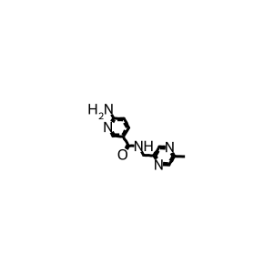 Cc1cnc(CNC(=O)c2ccc(N)nc2)cn1